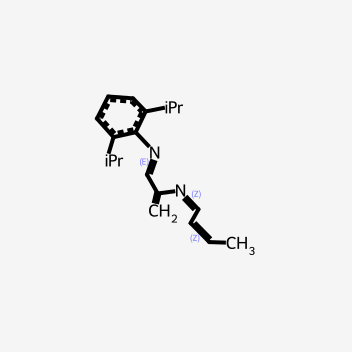 C=C(/C=N/c1c(C(C)C)cccc1C(C)C)/N=C\C=C/C